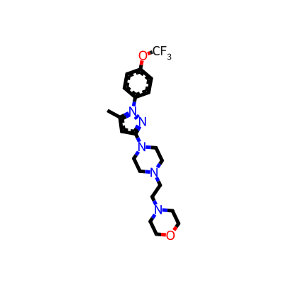 Cc1cc(N2CCN(CCN3CCOCC3)CC2)nn1-c1ccc(OC(F)(F)F)cc1